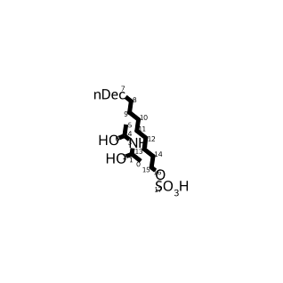 CC(O)NC(C)O.CCCCCCCCCCCCCCCCCCOS(=O)(=O)O